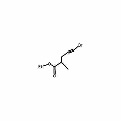 CCOC(=O)C(C)CC#CBr